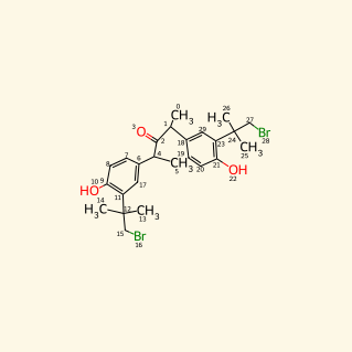 CC(C(=O)C(C)c1ccc(O)c(C(C)(C)CBr)c1)c1ccc(O)c(C(C)(C)CBr)c1